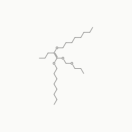 CCCCCCCCOC(CCC)=C(OCCCCCCCC)OCOCCC